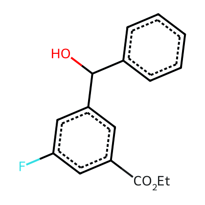 CCOC(=O)c1cc(F)cc(C(O)c2ccccc2)c1